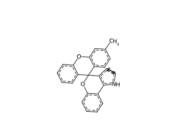 Cc1ccc2c(c1)Oc1ccccc1C21Oc2ccccc2-c2[nH]c3ccccc3c21